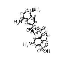 Nc1cc(S(=O)(=O)O)c2cccc(S(=O)(=O)OS(=O)(=O)c3ccc4c(N)ccc(N)c4c3)c2c1